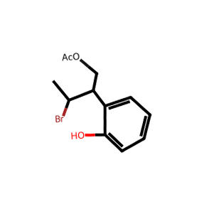 CC(=O)OCC(c1ccccc1O)C(C)Br